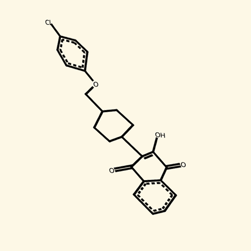 O=C1C(O)=C(C2CCC(COc3ccc(Cl)cc3)CC2)C(=O)c2ccccc21